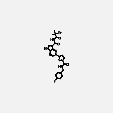 C[CH]C(C)(C)C(=O)NC(=O)c1c[nH]c2ncc(-c3ccc(C(=O)NCc4ccc(F)cc4)s3)nc12